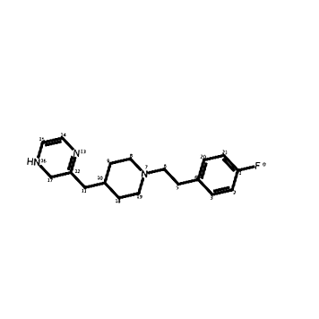 Fc1ccc(CCN2CCC(CC3=NC=CNC3)CC2)cc1